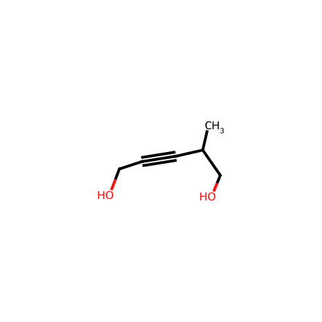 CC(C#CCO)CO